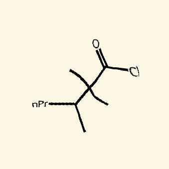 CCCC(C)C(C)(C)C(=O)Cl